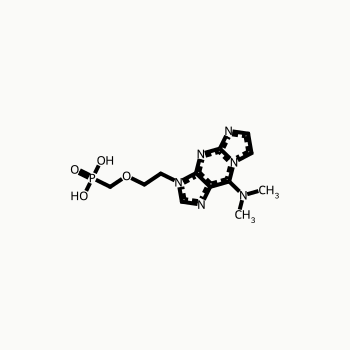 CN(C)c1c2ncn(CCOCP(=O)(O)O)c2nc2nccn12